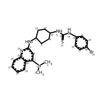 CN(C)c1cc(NC2CCC(NC(=S)Nc3ccc(Br)cc3)CC2)nc2ccccc12